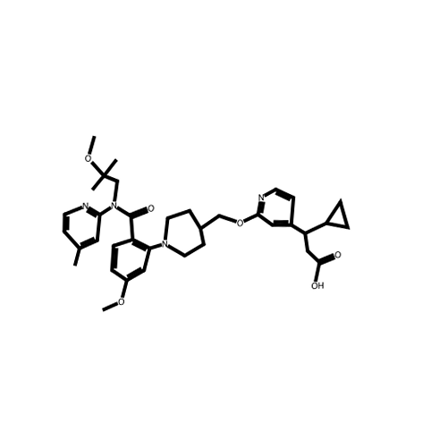 COc1ccc(C(=O)N(CC(C)(C)OC)c2cc(C)ccn2)c(N2CCC(COc3cc(C(CC(=O)O)C4CC4)ccn3)CC2)c1